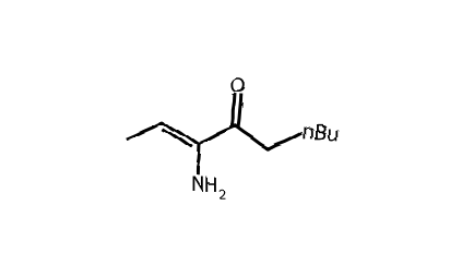 CC=C(N)C(=O)CCCCC